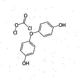 O=C(Cl)OCl.Oc1ccc(Oc2ccc(O)cc2)cc1